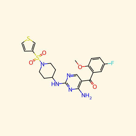 COc1ccc(F)cc1C(=O)c1cnc(NC2CCN(S(=O)(=O)c3ccsc3)CC2)nc1N